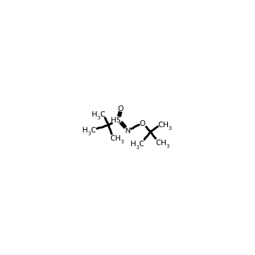 CC(C)(C)O/N=[SH](=O)/C(C)(C)C